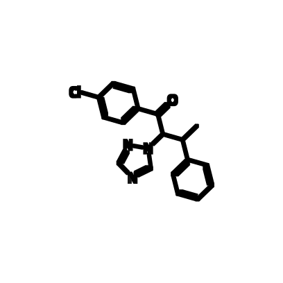 CC(c1ccccc1)C(C(=O)c1ccc(Cl)cc1)n1cncn1